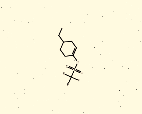 CCC1CC=C(OS(=O)(=O)C(F)(F)F)CC1